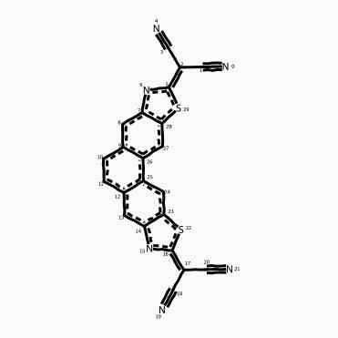 N#CC(C#N)=c1nc2cc3ccc4cc5nc(=C(C#N)C#N)sc5cc4c3cc2s1